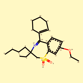 CCCCC1(CC)CS(=O)(=O)c2cc(OCC)ccc2C(C2=CCCCC2)=N1